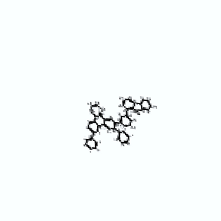 c1ccc(-c2ccc3c(c2)c2cc(-c4ccccc4)c(-c4cccc(-c5cccc6c5sc5ccccc56)c4)cc2c2nccnc32)cc1